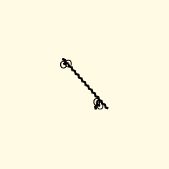 C=CC(=O)OCCCCCCCCCCCCCCCCCCC(CCCCC)OC(=O)C=C